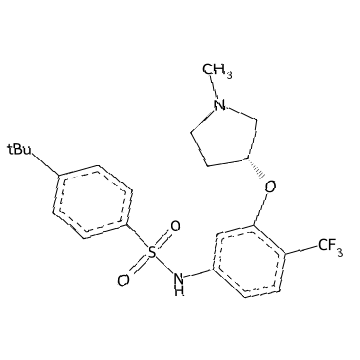 CN1CC[C@@H](Oc2cc(NS(=O)(=O)c3ccc(C(C)(C)C)cc3)ccc2C(F)(F)F)C1